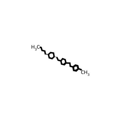 CCCCC[C@H]1CC[C@H](CCC2CC=C(CCc3ccc(CC)cc3)CC2)CC1